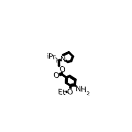 CCOc1cc(C(=O)OC[C@H](C(C)C)N2CCCCC2)ccc1N